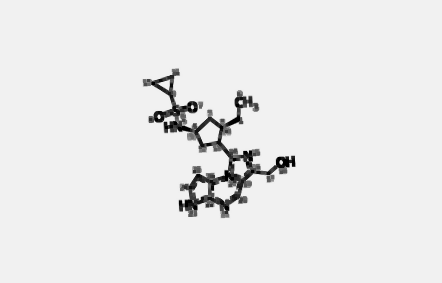 CC[C@@H]1C[C@H](NS(=O)(=O)C2CC2)CC1c1nc(CO)c2cnc3[nH]ccc3n12